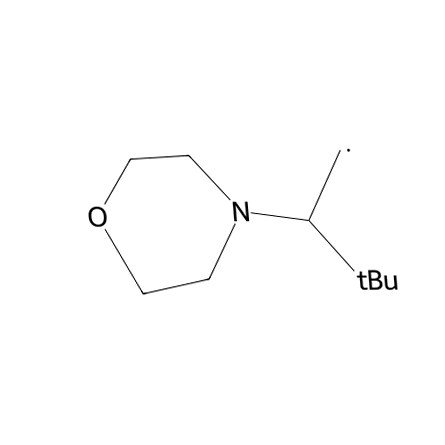 [CH2]C(N1CCOCC1)C(C)(C)C